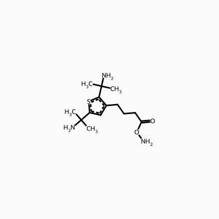 CC(C)(N)c1cc(CCCC(=O)ON)c(C(C)(C)N)s1